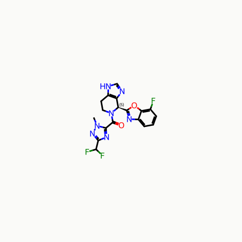 Cn1nc(C(F)F)nc1C(=O)N1CCc2[nH]cnc2[C@H]1c1nc2cccc(F)c2o1